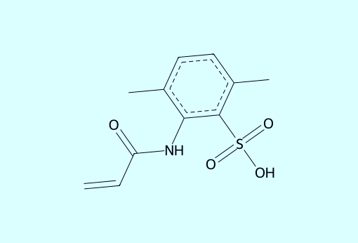 C=CC(=O)Nc1c(C)ccc(C)c1S(=O)(=O)O